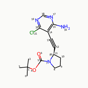 CC(C)(C)OC(=O)N1CCC[C@@H]1C#Cc1c(N)ncnc1Cl